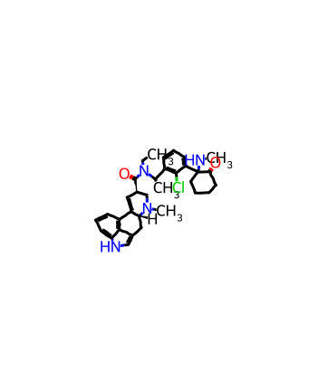 CCN(C(=O)[C@@H]1C=C2c3cccc4[nH]cc(c34)C[C@H]2N(C)C1)C(C)c1cccc(C2(NC)CCCCC2=O)c1Cl